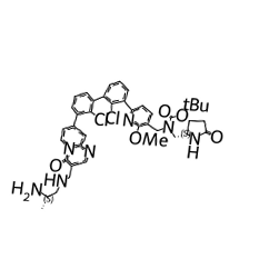 COc1nc(-c2cccc(-c3cccc(-c4ccn5c(=O)c(CNC[C@H](C)N)cnc5c4)c3Cl)c2Cl)ccc1CN(C[C@@H]1CCC(=O)N1)C(=O)OC(C)(C)C